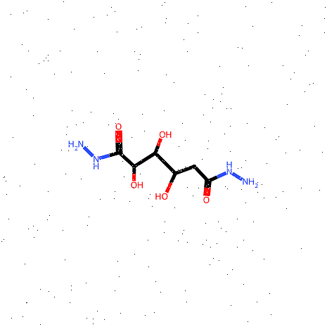 NNC(=O)CC(O)C(O)C(O)C(=O)NN